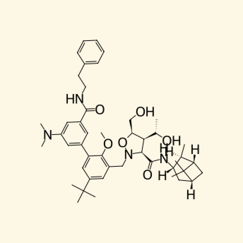 COc1c(CN2O[C@@H](CO)[C@@H]([C@H](C)O)[C@H]2C(=O)N[C@H]2C[C@H]3C[C@@H]([C@@H]2C)C3(C)C)cc(C(C)(C)C)cc1-c1cc(C(=O)NCCc2ccccc2)cc(N(C)C)c1